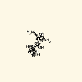 NCC#Cc1cn([C@H]2C=C(O)[C@@H](COP(=O)(O)OP(=O)(O)OP(=O)(O)O)O2)c2nc(N)[nH]c(=O)c12